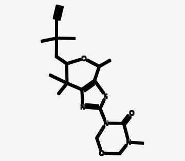 C#CC(C)(C)CC1OC(C)c2sc(N3COCN(C)C3=O)nc2C1(C)C